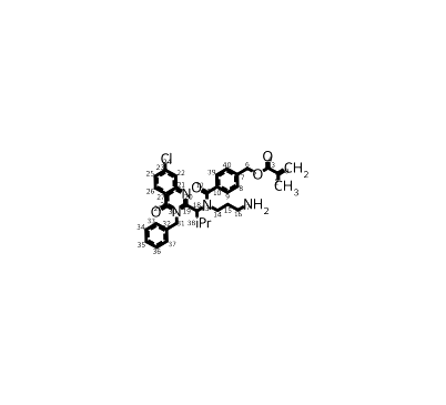 C=C(C)C(=O)OCc1ccc(C(=O)N(CCCN)C(c2nc3cc(Cl)ccc3c(=O)n2Cc2ccccc2)C(C)C)cc1